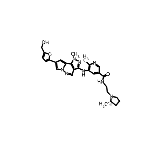 Cc1ncc(C(=O)NCCN2CCC[C@@H]2C)cc1Nc1nn(C)c2c1cnn1cc(-c3ccc(CO)o3)cc21